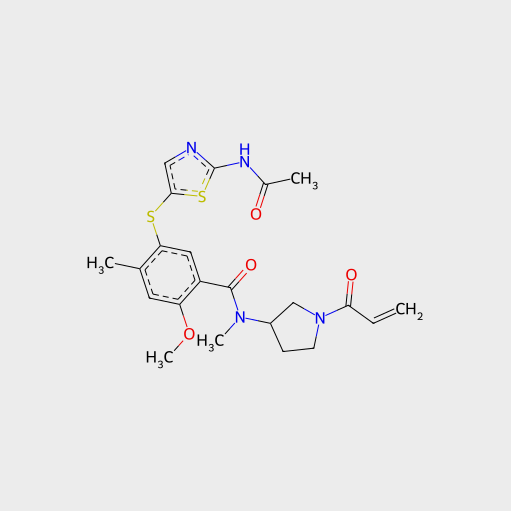 C=CC(=O)N1CCC(N(C)C(=O)c2cc(Sc3cnc(NC(C)=O)s3)c(C)cc2OC)C1